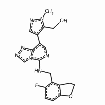 Cn1ncc(-c2cnc(NCc3c(F)ccc4c3CCO4)n3cnnc23)c1CO